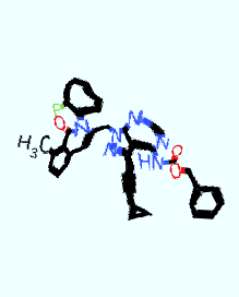 Cc1cccc2cc(Cn3nc(C#CC4CC4)c4c(NC(=O)OCc5ccccc5)ncnc43)n(-c3ccccc3F)c(=O)c12